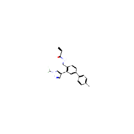 C=CC(=O)NCc1ccc(-c2ccc(C)cc2)cc1-c1cnn(C(F)F)c1